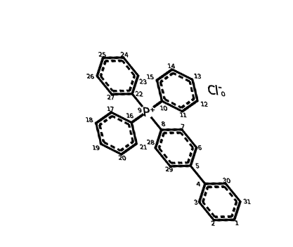 [Cl-].c1ccc(-c2ccc([P+](c3ccccc3)(c3ccccc3)c3ccccc3)cc2)cc1